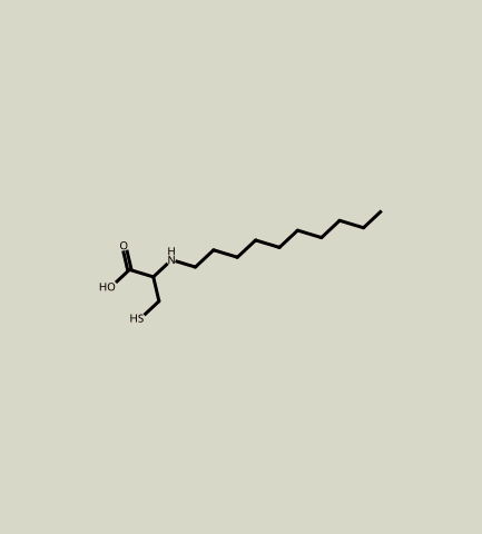 CCCCCCCCCCNC(CS)C(=O)O